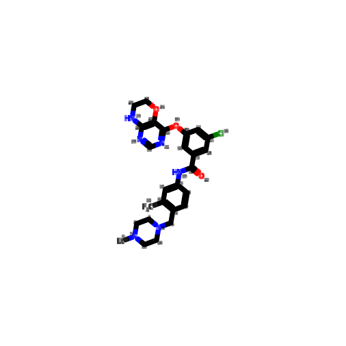 CCN1CCN(Cc2ccc(NC(=O)c3cc(Cl)cc(Oc4ncnc5c4OCCN5)c3)cc2C(F)(F)F)CC1